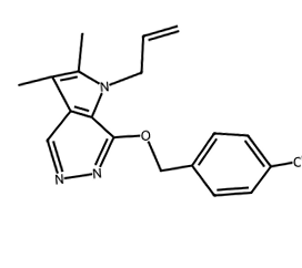 C=CCn1c(C)c(C)c2cnnc(OCc3ccc(Cl)cc3)c21